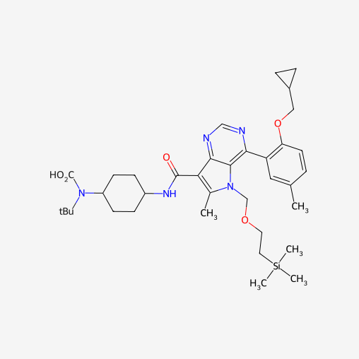 Cc1ccc(OCC2CC2)c(-c2ncnc3c(C(=O)NC4CCC(N(C(=O)O)C(C)(C)C)CC4)c(C)n(COCC[Si](C)(C)C)c23)c1